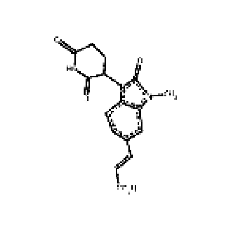 Cn1c(=O)n(C2CCC(=O)NC2=O)c2ccc(/C=C/C(=O)O)cc21